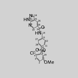 COc1ccc(Cl)c(S(=O)(=O)c2ccc(CNC(=O)c3cnc4[nH]ncc4c3)cc2)c1